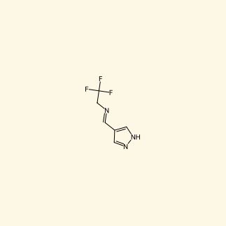 FC(F)(F)C/N=C/c1cn[nH]c1